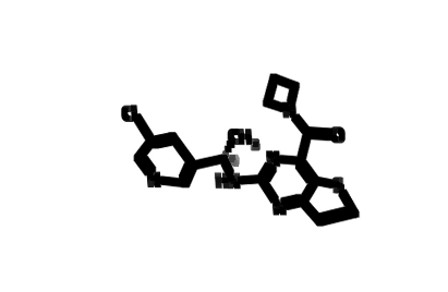 C[C@H](Nc1nc(C(=O)N2CCC2)c2sccc2n1)c1cncc(Cl)c1